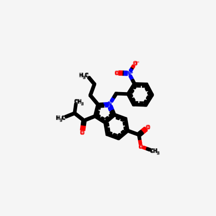 CCCc1c(C(=O)C(C)C)c2ccc(C(=O)OC)cc2n1Cc1ccccc1[N+](=O)[O-]